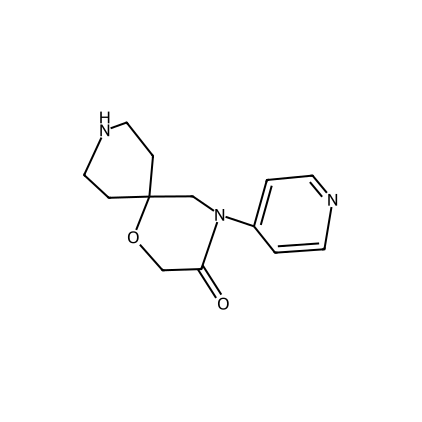 O=C1COC2(CCNCC2)CN1c1ccncc1